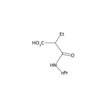 CCCNC(=O)C(CC)C(=O)O